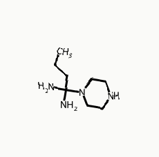 CCCC(N)(N)N1CCNCC1